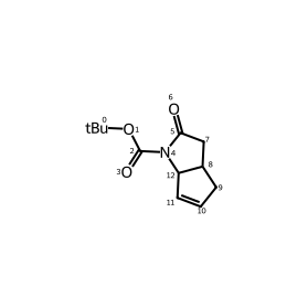 CC(C)(C)OC(=O)N1C(=O)CC2CC=CC21